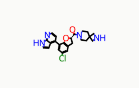 O=C([C@H]1Cc2cc(Cl)cc(-c3ccnc4[nH]ccc34)c2O1)N1CCC2(CC1)CNC2